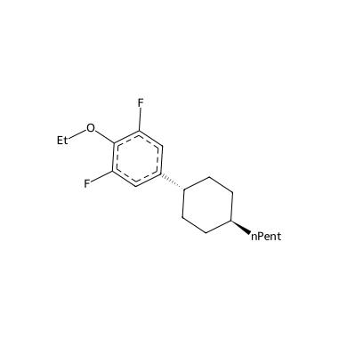 CCCCC[C@H]1CC[C@H](c2cc(F)c(OCC)c(F)c2)CC1